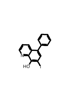 Oc1c(I)cc(-c2ccccc2)c2cccnc12